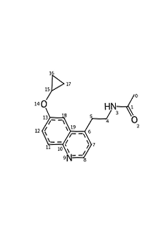 CC(=O)NCCc1ccnc2ccc(OC3CC3)cc12